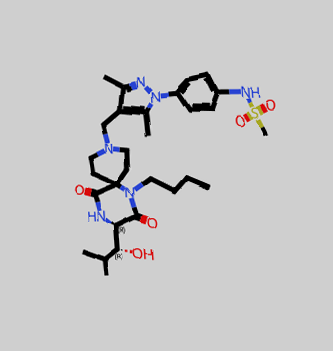 CCCCN1C(=O)[C@@H]([C@H](O)C(C)C)NC(=O)C12CCN(Cc1c(C)nn(-c3ccc(NS(C)(=O)=O)cc3)c1C)CC2